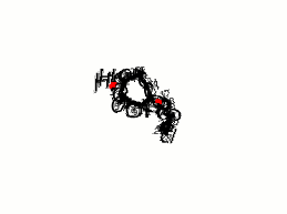 CC[C@H]1OC(=O)[C@H](C)[C@@H](O)[C@H](C)[C@@H](O[C@@H]2O[C@H](C)CC[C@H]2OC(=O)c2ccc(Cl)s2)[C@@H](C)C[C@@H](C)CN(C)[C@H](C)[C@@H](O)[C@]1(C)O